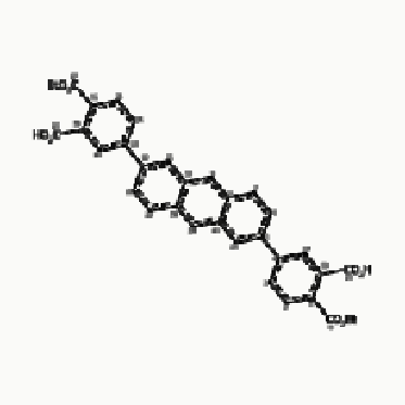 CCOC(=O)c1ccc(-c2ccc3cc4cc(-c5ccc(C(=O)OCC)c(C(=O)O)c5)ccc4cc3c2)cc1C(=O)O